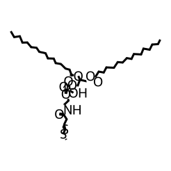 CCCCCCCCCCCCCCCC(=O)OCC(COP(=O)(O)OCCNC(=O)CCSSC)OC(=O)CCCCCCCCCCCCCCC